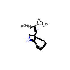 CC(=O)N/C(=C\c1c[nH]c2ccccc12)C(=O)O